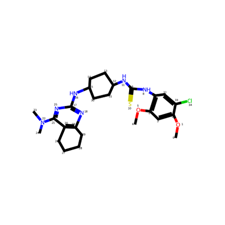 COc1cc(OC)c(NC(=S)NC2CCC(Nc3nc4c(c(N(C)C)n3)CCCC4)CC2)cc1Cl